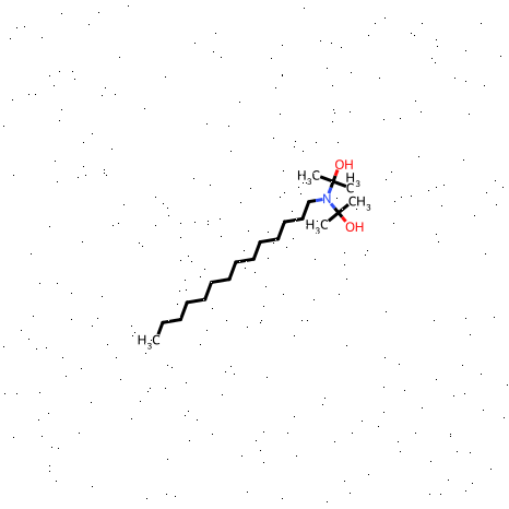 CCCCCCCCCCCCCCN(C(C)(C)O)C(C)(C)O